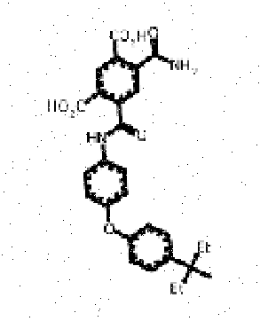 CCC(C)(CC)c1ccc(Oc2ccc(NC(=O)c3cc(C(N)=O)c(C(=O)O)cc3C(=O)O)cc2)cc1